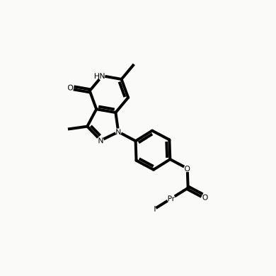 Cc1cc2c(c(C)nn2-c2ccc(O[C](=O)[Pr][I])cc2)c(=O)[nH]1